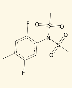 Cc1cc(F)c(N(S(C)(=O)=O)S(C)(=O)=O)cc1F